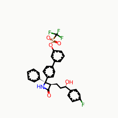 O=C1N[C@@](c2ccccc2)(c2ccc(-c3cccc(OS(=O)(=O)C(F)(F)F)c3)cc2)[C@H]1CC[C@H](O)c1ccc(F)cc1